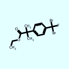 CCOC(=O)C(C)(C)c1ccc(C(F)(Br)Br)cc1